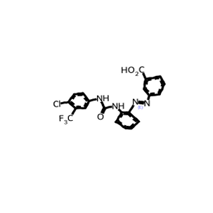 O=C(Nc1ccc(Cl)c(C(F)(F)F)c1)Nc1ccccc1/N=N/c1cccc(C(=O)O)c1